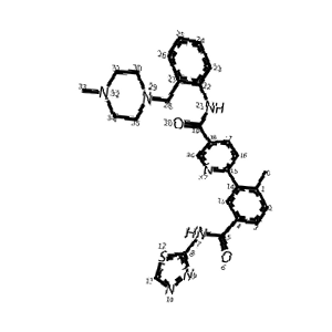 Cc1ccc(C(=O)Nc2nncs2)cc1-c1ccc(C(=O)Nc2ccccc2CN2CCN(C)CC2)cn1